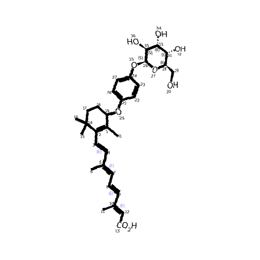 CC1=C(/C=C/C(C)=C/C=C/C(C)=C/C(=O)O)C(C)(C)CCC1Oc1ccc(O[C@@H]2O[C@H](CO)[C@@H](O)[C@@H](O)[C@@H]2O)cc1